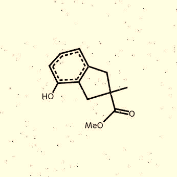 COC(=O)C1(C)Cc2cccc(O)c2C1